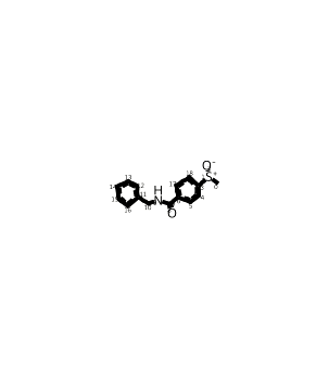 C[S+]([O-])c1ccc(C(=O)NCc2ccccc2)cc1